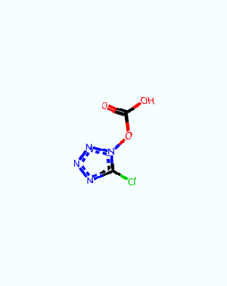 O=C(O)On1nnnc1Cl